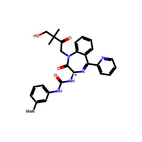 CNc1cccc(NC(=O)N[C@@H]2N=C(c3ccccn3)c3ccccc3N(CC(=O)C(C)(C)CO)C2=O)c1